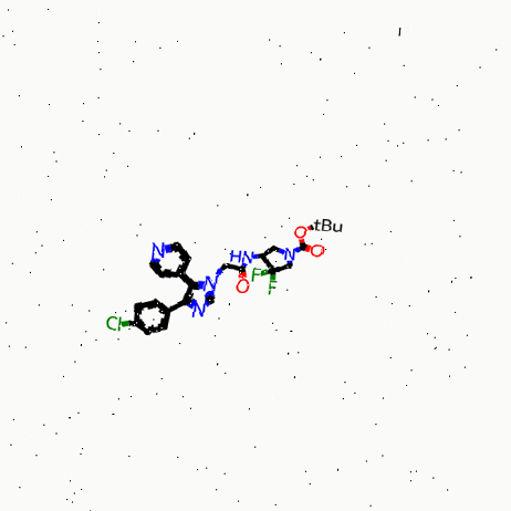 CC(C)(C)OC(=O)N1CC(NC(=O)Cn2cnc(-c3ccc(Cl)cc3)c2-c2ccncc2)C(F)(F)C1